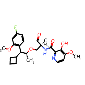 COc1cc(F)ccc1[C@H](C1CCC1)[C@H](C)OC[C@@](C)(C=O)NC(=O)c1nccc(OC)c1O